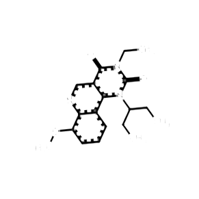 CCC(CC)n1c(=O)n(CC)c(=O)c2cnc3c(OC)cccc3c21